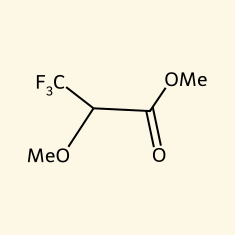 COC(=O)C(OC)C(F)(F)F